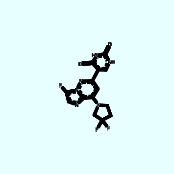 O=c1[nH]cc(-c2cc(N3CCC(F)(F)C3)c3ncc(F)n3n2)c(=O)[nH]1